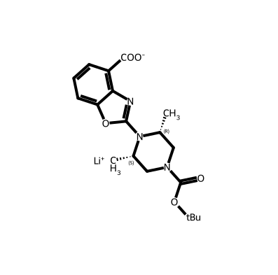 C[C@@H]1CN(C(=O)OC(C)(C)C)C[C@H](C)N1c1nc2c(C(=O)[O-])cccc2o1.[Li+]